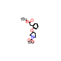 CC(C)(C)OC(=O)Cc1ccccc1O[C@H]1CCN(C(=O)OC(C)(C)C)C1